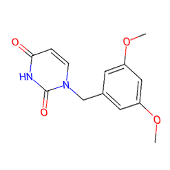 COc1cc(Cn2ccc(=O)[nH]c2=O)cc(OC)c1